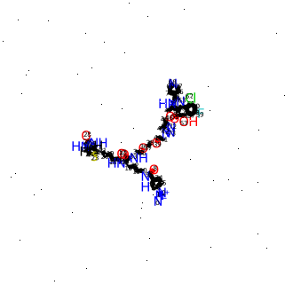 [N-]=[N+]=Nc1ccc(C(=O)NCCCC[C@@H](NC(=O)CCCC[C@@H]2SC[C@@H]3NC(=O)N[C@@H]32)C(=O)NCCOCCOCCn2cc(COCC3=C(C(=O)CO)C(c4ccc(F)cc4Cl)N=C(c4ccncc4)N3)nn2)cc1